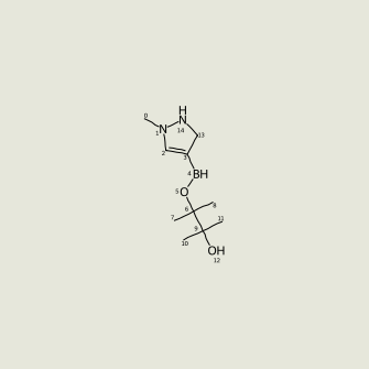 CN1C=C(BOC(C)(C)C(C)(C)O)CN1